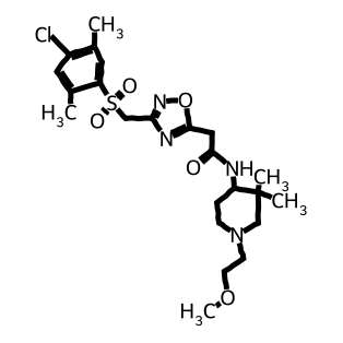 COCCN1CCC(NC(=O)Cc2nc(CS(=O)(=O)c3cc(C)c(Cl)cc3C)no2)C(C)(C)C1